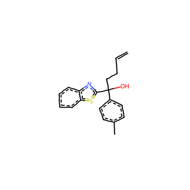 C=CCCC(O)(c1ccc(C)cc1)c1nc2ccccc2s1